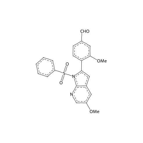 COc1cnc2c(c1)cc(-c1ccc(C=O)cc1OC)n2S(=O)(=O)c1ccccc1